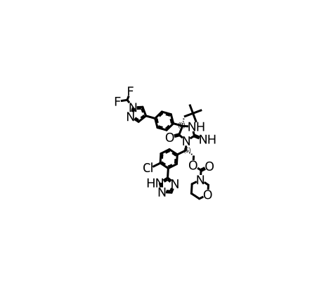 CC(C)(C)C[C@]1(c2ccc(-c3cnn(C(F)F)c3)cc2)NC(=N)N([C@H](COC(=O)N2CCCOC2)c2ccc(Cl)c(-c3ncn[nH]3)c2)C1=O